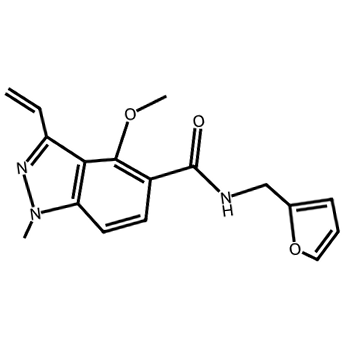 C=Cc1nn(C)c2ccc(C(=O)NCc3ccco3)c(OC)c12